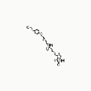 O=C(CCCCC1SCC2NC(=O)NC21)NCCOCCOc1ccc(CCCl)cc1